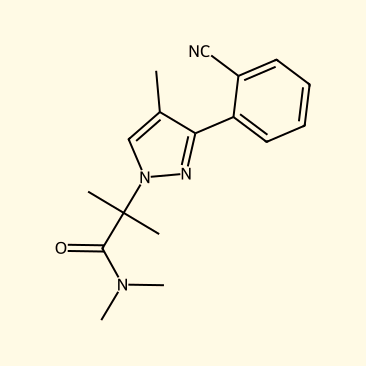 Cc1cn(C(C)(C)C(=O)N(C)C)nc1-c1ccccc1C#N